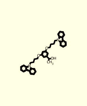 CC(O)c1cc(OCCCCn2c3ccccc3c3ccccc32)cc(OCCCCn2c3ccccc3c3ccccc32)c1